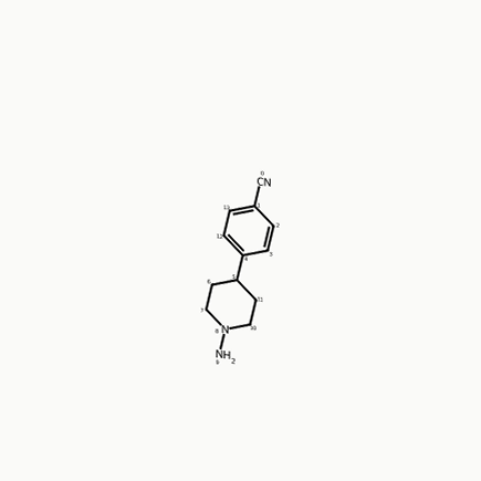 N#Cc1ccc(C2CCN(N)CC2)cc1